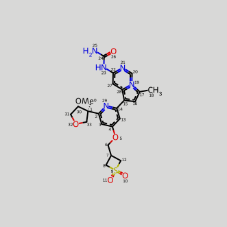 CO[C@@]1(c2cc(OCC3CS(=O)(=O)C3)cc(-c3cc(C)n4cnc(NC(N)=O)cc34)n2)CCOC1